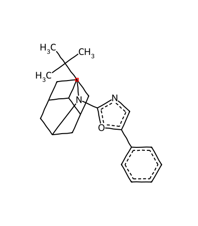 CC(C)(C)CC1C2CC3CC1CC(C2)N3c1ncc(-c2ccccc2)o1